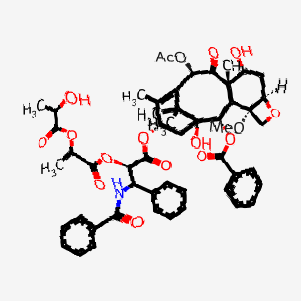 CO[C@@]12CO[C@@H]1C[C@H](O)[C@@]1(C)C(=O)[C@H](OC(C)=O)C3=C(C)[C@@H](OC(=O)[C@H](OC(=O)C(C)OC(=O)C(C)O)C(NC(=O)c4ccccc4)c4ccccc4)C[C@@](O)([C@@H](OC(=O)c4ccccc4)C12)C3(C)C